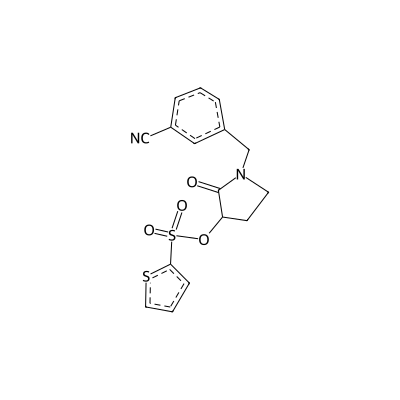 N#Cc1cccc(CN2CCC(OS(=O)(=O)c3cccs3)C2=O)c1